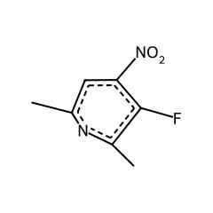 Cc1cc([N+](=O)[O-])c(F)c(C)n1